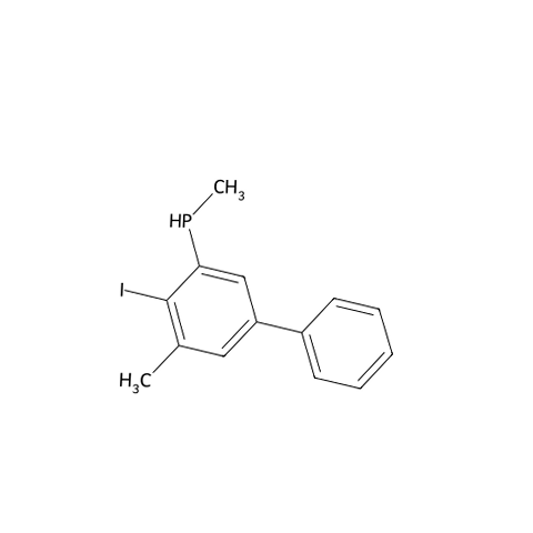 CPc1cc(-c2ccccc2)cc(C)c1I